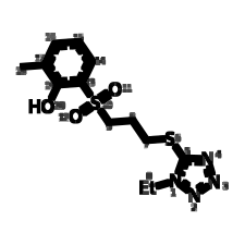 CCn1nnnc1SCCCS(=O)(=O)c1cccc(C)c1O